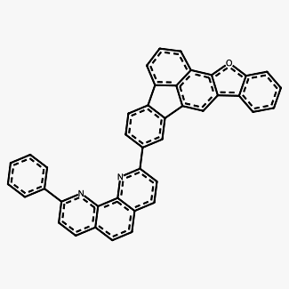 c1ccc(-c2ccc3ccc4ccc(-c5ccc6c(c5)-c5cc7c8ccccc8oc7c7cccc-6c57)nc4c3n2)cc1